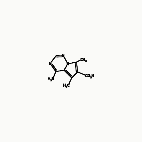 Cc1c(C(=O)O)c(C)n2ncnc(N)c12